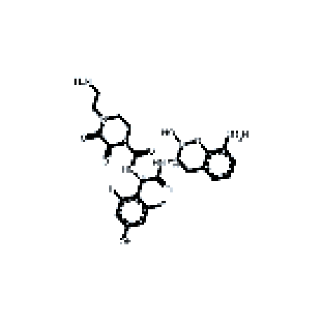 NCCN1CCN(C(=O)N[C@@H](C(=O)N[C@H]2Cc3cccc(C(=O)O)c3OB2O)c2c(F)cc(O)cc2F)C(=O)C1=O